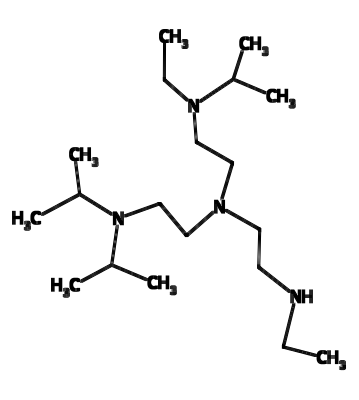 CCNCCN(CCN(CC)C(C)C)CCN(C(C)C)C(C)C